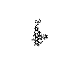 COC(=O)CCn1cc2c(n1)CCC(C1=C(C(=O)OC)C(c3cccc(F)c3Br)N=C(c3nccs3)N1)C2